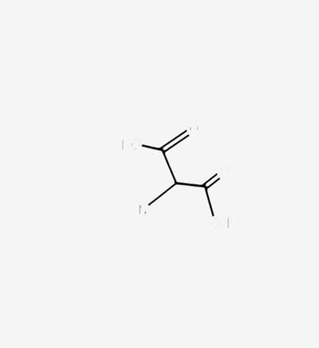 [N]C(C(=O)O)C(=O)O